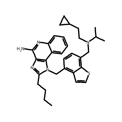 CCCCc1nc2c(N)nc3ccccc3c2n1Cc1ccc(CN(CCC2CC2)C(C)C)c2sccc12